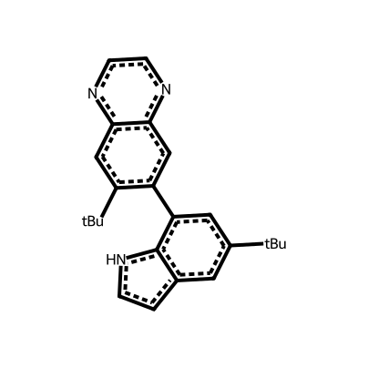 CC(C)(C)c1cc(-c2cc3nccnc3cc2C(C)(C)C)c2[nH]ccc2c1